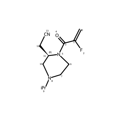 C=C(F)C(=O)N1CCN(C(C)C)C[C@H]1CC#N